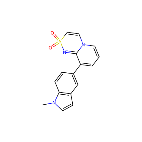 Cn1ccc2cc(C3=CC=CN4C=CS(=O)(=O)N=C34)ccc21